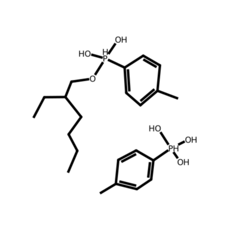 CCCCC(CC)CO[PH](O)(O)c1ccc(C)cc1.Cc1ccc([PH](O)(O)O)cc1